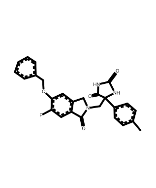 Cc1ccc(C2(CN3Cc4cc(OCc5ccccc5)c(F)cc4C3=O)NC(=O)NC2=O)cc1